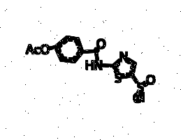 CC(=O)Oc1ccc(C(=O)Nc2ncc([SH](=O)=O)s2)cc1